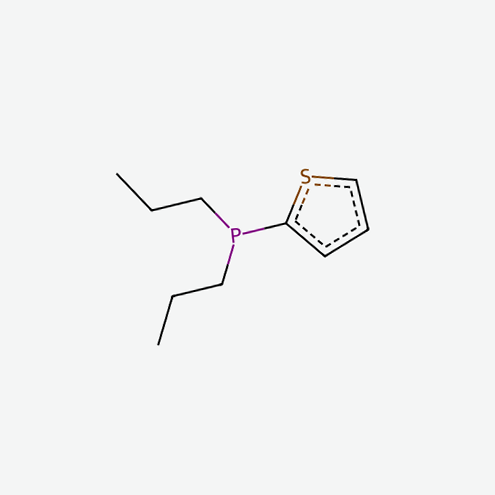 CCCP(CCC)c1cccs1